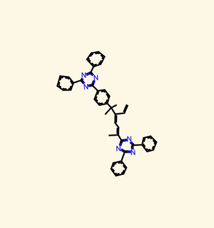 C=C/C(=C\C=C(/C)c1nc(-c2ccccc2)nc(-c2ccccc2)n1)C(C)(C)c1ccc(-c2nc(-c3ccccc3)nc(-c3ccccc3)n2)cc1